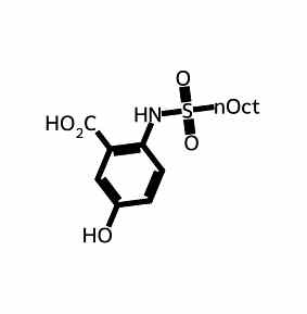 CCCCCCCCS(=O)(=O)Nc1ccc(O)cc1C(=O)O